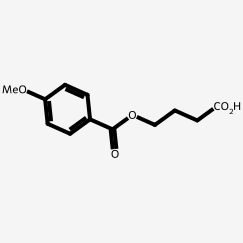 COc1ccc(C(=O)OCCCC(=O)O)cc1